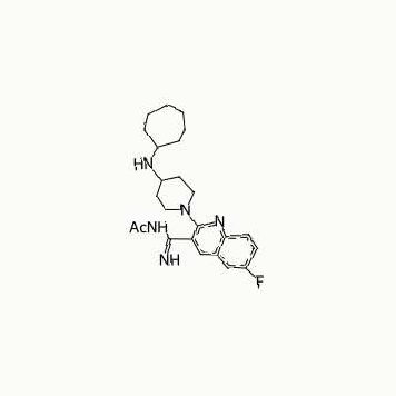 CC(=O)NC(=N)c1cc2cc(F)ccc2nc1N1CCC(NC2CCCCCC2)CC1